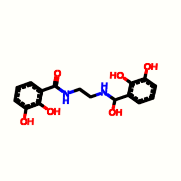 O=C(NCCNC(O)c1cccc(O)c1O)c1cccc(O)c1O